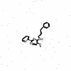 COc1cnc(-c2ccccn2)nc1NCCCc1ccccc1